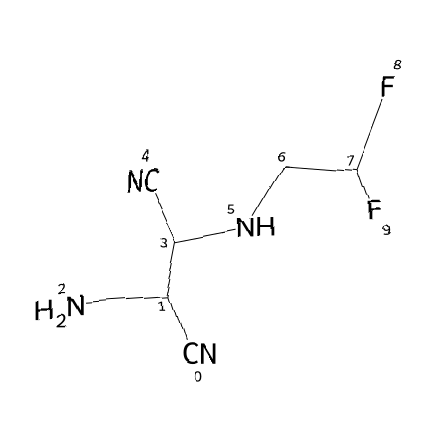 N#CC(N)C(C#N)NCC(F)F